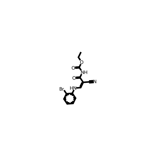 CCOC(=O)NC(=O)C(C#N)=CNc1ccccc1Br